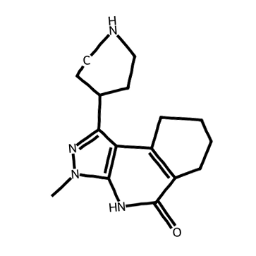 Cn1nc(C2CCNCC2)c2c3c(c(=O)[nH]c21)CCCC3